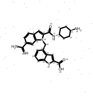 N=C(N)c1ccc2cc(C(=O)N[C@H]3CC[C@H](N)CC3)n(Cc3cccc4sc(C(=O)O)cc34)c2c1